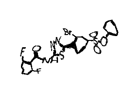 O=C(Nc1nnc(-c2ccc(S(=O)(=O)Oc3ccccc3)cc2Br)s1)c1c(F)cccc1F